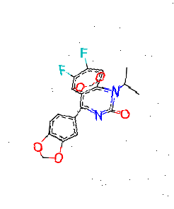 CC(C)n1c(=O)nc(-c2ccc3c(c2)OCO3)c2c3c(F)c(F)c(c21)OCO3